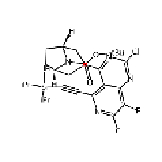 CC(C)[Si](C#Cc1nc(Cl)c(F)c2nc(Cl)nc(N3C[C@H]4CC[C@@H](C3)N4C(=O)OC(C)(C)C)c12)(C(C)C)C(C)C